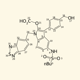 CCCCS(=O)(=O)Nc1ccc2c(c1)c(-c1ccc(CO)cc1)c(OC(=O)O)n2Cc1ccc2nsnc2c1